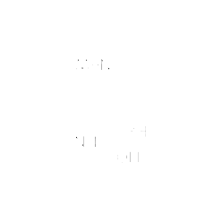 CN/C=C(/BO)C=N